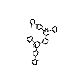 Cc1ccccc1-c1ccc(-c2cc(-c3cccc(-c4cc(-c5ccccc5)nc(-c5ccc(-c6ccccc6C)cc5)c4)c3)cc(-c3ccccc3)n2)cc1